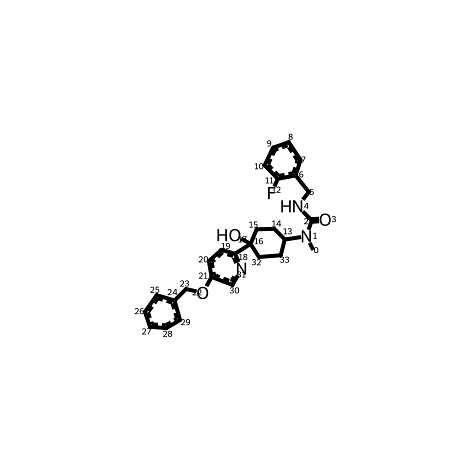 CN(C(=O)NCc1ccccc1F)C1CCC(O)(c2ccc(OCc3ccccc3)cn2)CC1